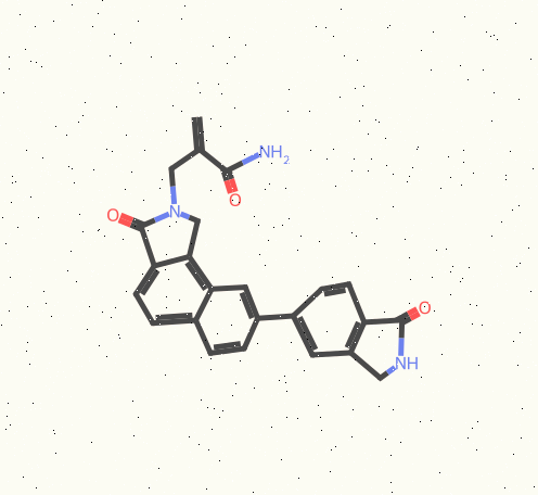 C=C(CN1Cc2c(ccc3ccc(-c4ccc5c(c4)CNC5=O)cc23)C1=O)C(N)=O